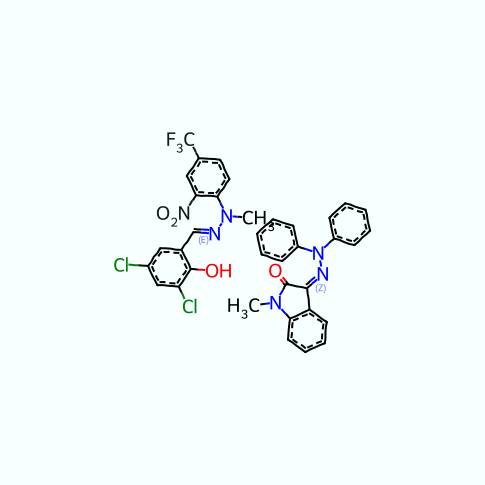 CN(/N=C/c1cc(Cl)cc(Cl)c1O)c1ccc(C(F)(F)F)cc1[N+](=O)[O-].CN1C(=O)/C(=N\N(c2ccccc2)c2ccccc2)c2ccccc21